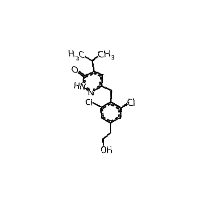 CC(C)c1cc(Cc2c(Cl)cc(CCO)cc2Cl)n[nH]c1=O